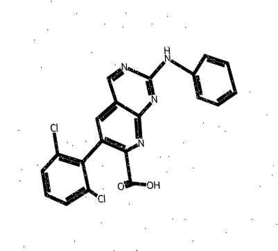 O=C(O)c1nc2nc(Nc3ccccc3)ncc2cc1-c1c(Cl)cccc1Cl